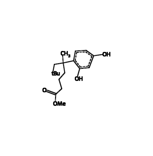 COC(=O)CCCC(C)(CC(C)(C)C)c1ccc(O)cc1O